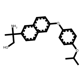 CC(C)Oc1ccc(Oc2ccc3cc(C(C)(N)CO)ccc3c2)cc1